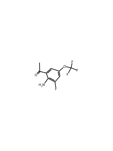 CC(=O)c1cc(OC(F)(F)F)cc(F)c1N